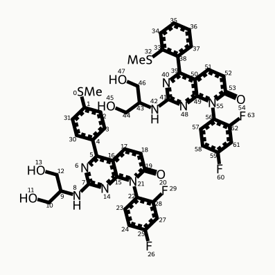 CSc1ccc(-c2nc(NC(CO)CO)nc3c2ccc(=O)n3-c2ccc(F)cc2F)cc1.CSc1ccccc1-c1nc(NC(CO)CO)nc2c1ccc(=O)n2-c1ccc(F)cc1F